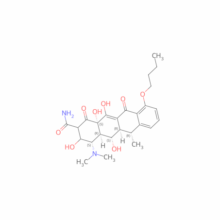 CCCCOc1cccc2c1C(=O)C1=C(O)[C@]3(O)C(=O)C(C(N)=O)C(O)[C@@H](N(C)C)[C@@H]3[C@@H](O)[C@@H]1[C@H]2C